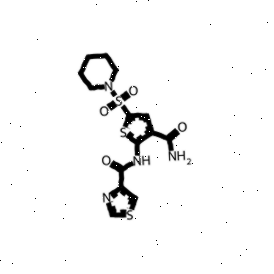 NC(=O)c1cc(S(=O)(=O)N2CCCCC2)sc1NC(=O)c1cscn1